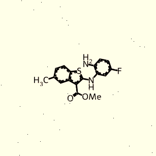 COC(=O)c1c(Nc2cc(F)ccc2N)sc2ccc(C)cc12